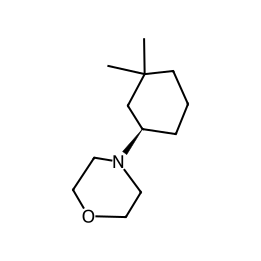 CC1(C)CCC[C@@H](N2CCOCC2)C1